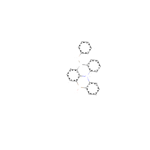 [O-][S+]1c2ccccc2N2c3ccccc3B(Sc3ccccc3)c3cccc1c32